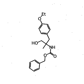 CCOc1ccc(CC(C)(CO)NC(=O)OCc2ccccc2)cc1